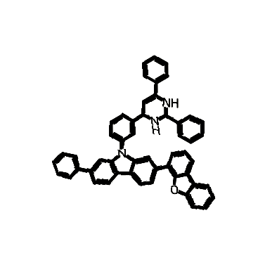 C1=C(c2ccccc2)NC(c2ccccc2)NC1c1cccc(-n2c3cc(-c4ccccc4)ccc3c3ccc(-c4cccc5c4oc4ccccc45)cc32)c1